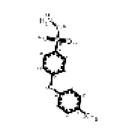 Cc1ccc(Oc2ccc(S(=O)(=O)ON)cc2)cc1